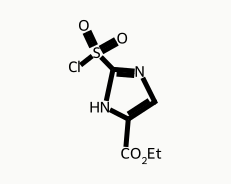 CCOC(=O)c1cnc(S(=O)(=O)Cl)[nH]1